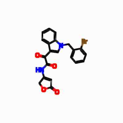 O=C1C=C(NC(=O)C(=O)c2cn(Cc3ccccc3Br)c3ccccc23)CO1